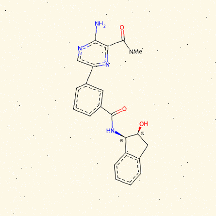 CNC(=O)c1nc(-c2cccc(C(=O)N[C@@H]3c4ccccc4C[C@@H]3O)c2)cnc1N